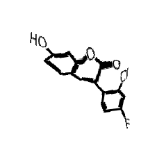 O=c1oc2cc(O)ccc2cc1-c1ccc(F)cc1Cl